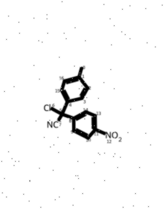 Cc1ccc(C(Cl)(C#N)c2ccc([N+](=O)[O-])cc2)cc1